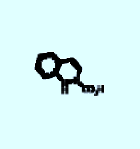 O=C(O)N1C=Cc2ccccc2N1